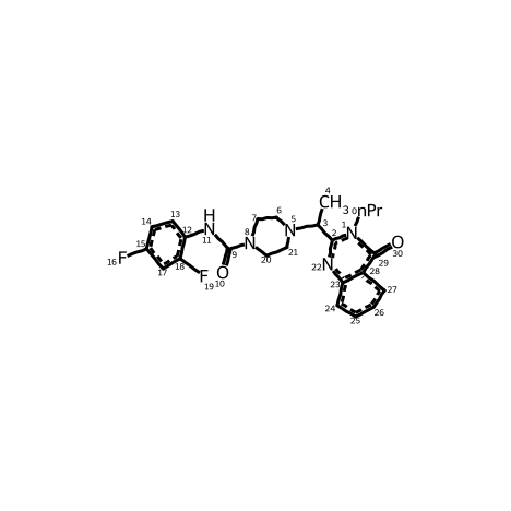 CCCn1c(C(C)N2CCN(C(=O)Nc3ccc(F)cc3F)CC2)nc2ccccc2c1=O